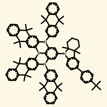 CC(C)(C)c1ccc(-c2ccc3c(c2)C2(C)CCCCC2(C)N3c2cc3c4c(c2)N(c2ccc5c(c2)C(C)(C)c2ccccc2C5(C)C)c2cc5c(cc2B4c2cc4c(cc2N3c2ccc3c(c2)C(C)(C)c2ccccc2C3(C)C)C(C)(C)c2ccccc2C4(C)C)C(C)(C)c2ccccc2C5(C)C)cc1